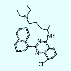 CCN(CC)CCCC(C)Nc1nc(-c2cccc3ccccc23)nc2c(Cl)cccc12